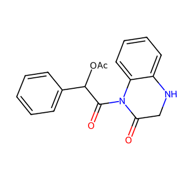 CC(=O)OC(C(=O)N1C(=O)CNc2ccccc21)c1ccccc1